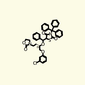 O=C1OCCN1CC[C@@H](COc1cccc(Cl)c1)OC(c1ccccc1)C1SC(=O)N(C(c2ccccc2)(c2ccccc2)c2ccccc2)C1=O